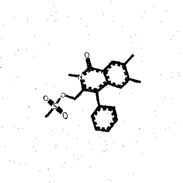 Cc1cc2c(-c3ccccc3)c(COS(C)(=O)=O)n(C)c(=O)c2cc1C